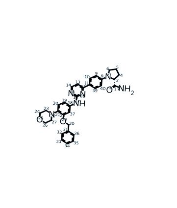 NC(=O)[C@H]1CCCN1c1ccc(-c2ccnc(Nc3ccc(N4CCOCC4)c(OCc4ccccc4)c3)n2)cc1